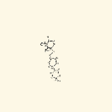 Cc1ccc(CCC2=CCC(C3CCC(C)CC3)CC2)c(F)c1Cl